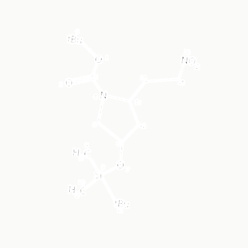 CC(C)(C)OC(=O)N1CC(O[Si](C)(C)C(C)(C)C)CC1CC[N+](=O)[O-]